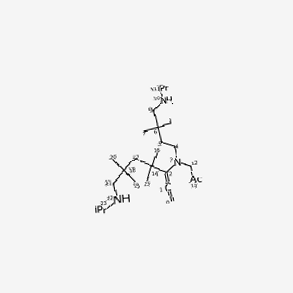 C=C=C(N(CCC(C)(C)CNC(C)C)CC(C)=O)C(C)(C)CC(C)(C)CNC(C)C